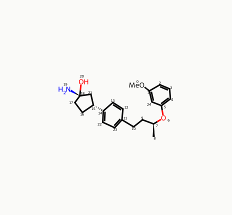 COc1cccc(O[C@@H](C)CCc2ccc([C@@H]3CC[C@](N)(O)C3)cc2)c1